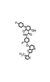 Cn1ccnc1-c1cc2nccc(Oc3ccc(NC(=O)c4c(O)ccn(-c5ccc(F)cc5)c4=O)cc3F)c2s1